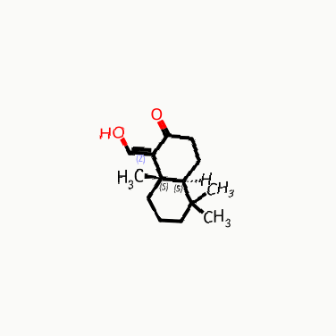 CC1(C)CCC[C@]2(C)/C(=C/O)C(=O)CC[C@@H]12